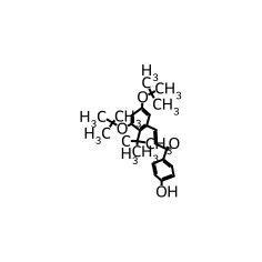 CC(C)(C)Oc1cc(C=CC(=O)c2ccc(O)cc2)c(C(C)(C)C)c(OC(C)(C)C)c1